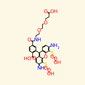 N=c1ccc2c(-c3cc(C(=O)NCCOCCOCCC(=O)O)ccc3C(=O)O)c3ccc(N)c(SOOO)c3oc-2c1SOOO